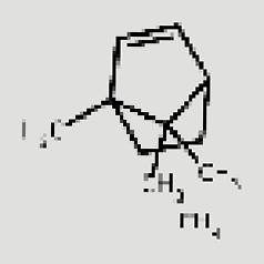 C.CC12C=CC(CC1)C2(C)C